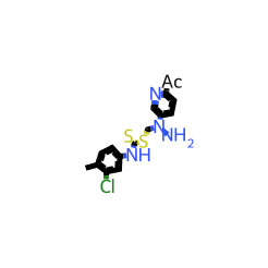 CC(=O)c1ccc(N(N)CSC(=S)Nc2ccc(C)c(Cl)c2)cn1